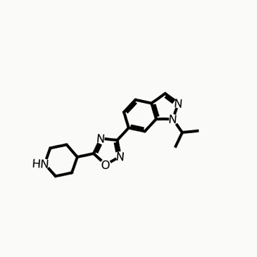 CC(C)n1ncc2ccc(-c3noc(C4CCNCC4)n3)cc21